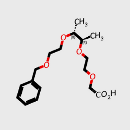 C[C@@H](OCCOCC(=O)O)[C@@H](C)OCCOCc1ccccc1